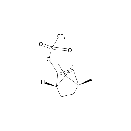 CC1(C)[C@@H]2CC[C@@]1(C)C=C2OS(=O)(=O)C(F)(F)F